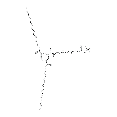 CCCCCCCCCCCCCCCC(=O)N1CCN(C(=O)CCCCCCCCCCCCCCC)CC(C(=O)NCCOCCOCCC(=O)OC(C)(C)C)C1